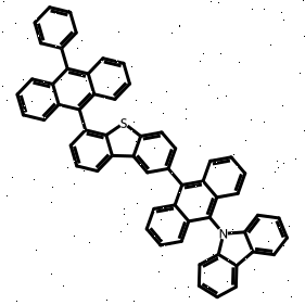 c1ccc(-c2c3ccccc3c(-c3cccc4c3sc3ccc(-c5c6ccccc6c(-n6c7ccccc7c7ccccc76)c6ccccc56)cc34)c3ccccc23)cc1